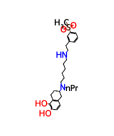 CCCN(CCCCCCNCCc1cccc(S(C)(=O)=O)c1)C1CCc2c(ccc(O)c2O)C1